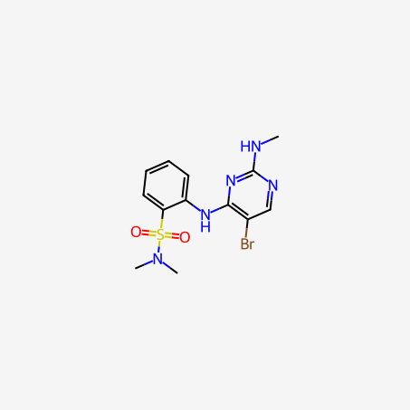 CNc1ncc(Br)c(Nc2ccccc2S(=O)(=O)N(C)C)n1